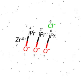 CC(C)[O-].CC(C)[O-].CC(C)[O-].[Cl-].[Zr+4]